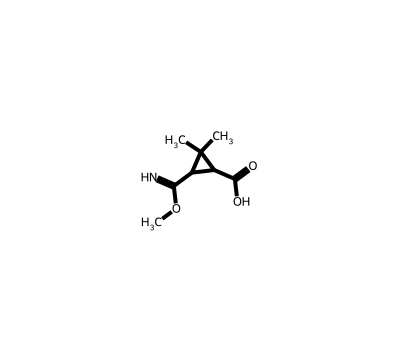 COC(=N)C1C(C(=O)O)C1(C)C